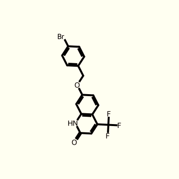 O=c1cc(C(F)(F)F)c2ccc(OCc3ccc(Br)cc3)cc2[nH]1